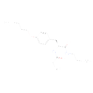 CCOC(=O)CCCOc1ccc(C[C@H](NC(=O)C[SiH3])C(=O)NCCOC)cc1